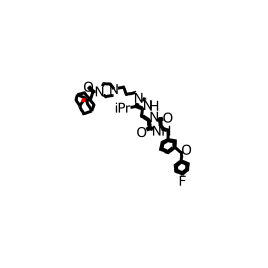 CC(C)c1c(/C=c2\[nH]c(=O)/c(=C/c3cccc(C(=O)c4ccc(F)cc4)c3)[nH]c2=O)ncn1CCCN1CCN(C(=O)C23CC4CC(CC(C4)C2)C3)CC1